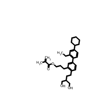 C=C(C)C(=O)OCCCc1cc(-c2ccc(C3CCCCC3)cc2CC)ccc1CCC(CO)CO